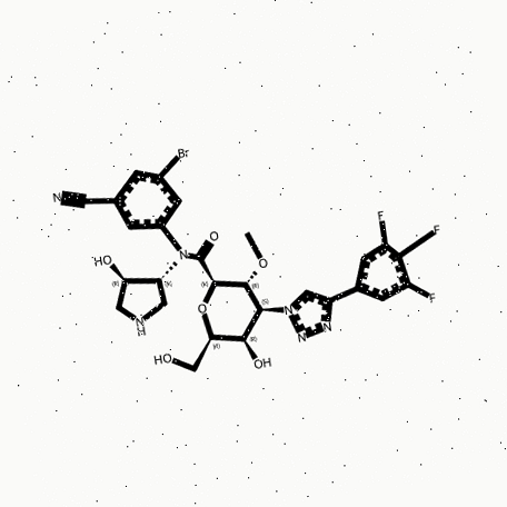 CO[C@@H]1[C@@H](n2cc(-c3cc(F)c(F)c(F)c3)nn2)[C@@H](O)[C@@H](CO)O[C@H]1C(=O)N(c1cc(Br)cc(C#N)c1)[C@@H]1CNC[C@H]1O